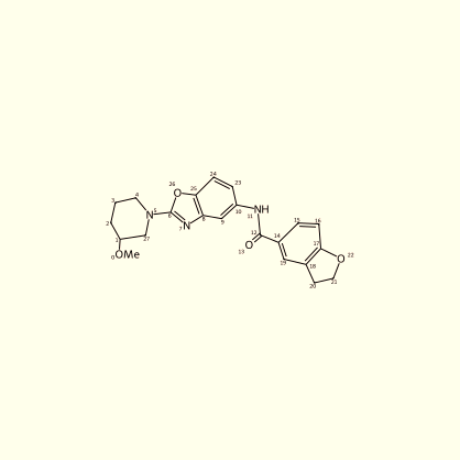 COC1CCCN(c2nc3cc(NC(=O)c4ccc5c(c4)CCO5)ccc3o2)C1